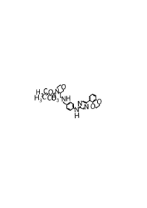 CC(C)(C)OC(=O)N1CCOCC1CNCc1ccc(Nc2cnc(-c3cccc4c3OCCO4)cn2)cc1